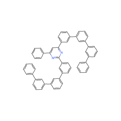 c1ccc(-c2cccc(-c3cccc(-c4cccc(-c5cc(-c6ccccc6)nc(-c6cccc(-c7cccc(-c8cccc(-c9ccccc9)c8)c7)c6)n5)c4)c3)c2)cc1